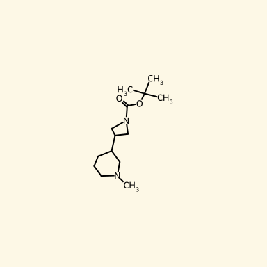 CN1CCCC(C2CN(C(=O)OC(C)(C)C)C2)C1